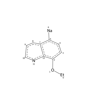 CCOc1cc[c]([Na])c2cccnc12